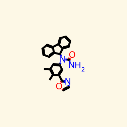 Cc1cc(N(C(N)=O)C2c3ccccc3-c3ccccc32)cc(-c2ncco2)c1C